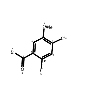 CCC(=O)c1cc(OC)c(Cl)cc1F